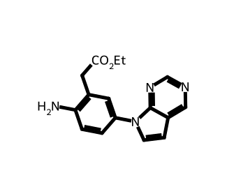 CCOC(=O)Cc1cc(-n2ccc3cncnc32)ccc1N